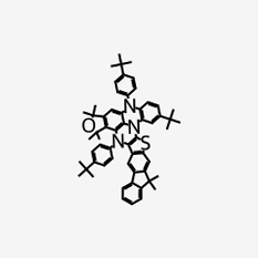 CC(C)(C)c1ccc(N2c3ccc(C(C)(C)C)cc3N3c4sc5cc6c(cc5c4N(c4ccc(C(C)(C)C)cc4)c4c3c2cc2c4C(C)(C)OC2(C)C)-c2ccccc2C6(C)C)cc1